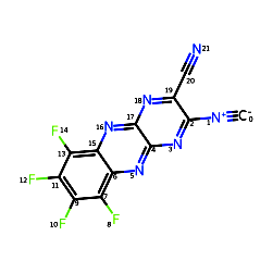 [C-]#[N+]c1nc2nc3c(F)c(F)c(F)c(F)c3nc2nc1C#N